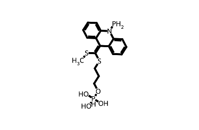 CSC(SCCCO[PH](O)(O)O)=C1c2ccccc2N(P)c2ccccc21